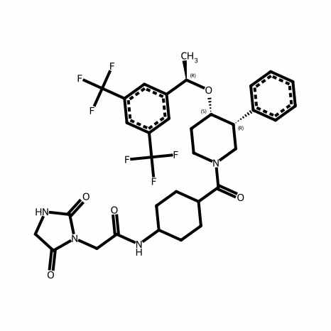 C[C@@H](O[C@H]1CCN(C(=O)C2CCC(NC(=O)CN3C(=O)CNC3=O)CC2)C[C@H]1c1ccccc1)c1cc(C(F)(F)F)cc(C(F)(F)F)c1